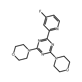 Fc1ccnc(-c2nc(N3CCOCC3)nc(N3CCOCC3)n2)c1